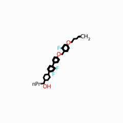 C=CCCCOc1ccc(COc2ccc(-c3ccc(C4CCC(C(O)CCC)CC4)c(F)c3F)cc2)c(F)c1